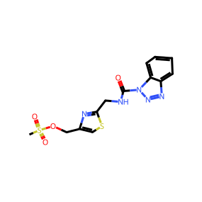 CS(=O)(=O)OCc1csc(CNC(=O)n2nnc3ccccc32)n1